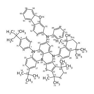 CC(C)(C)c1ccc(N2c3ccc(C(C)(C)C)cc3B3c4sc5c(c4N(c4ccc6c(c4)C(C)(C)CCC6(C)C)c4cc(N(c6ccccc6)c6ccc7c(c6)oc6ccccc67)cc2c43)C(C)(C)CCC5(C)C)cc1